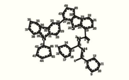 C=C(/N=C(\N=C(/C)c1ccccc1)c1ccccc1)c1cccc2c1sc1c(-c3ccc4c(c3)c3ccccc3n4-c3ccccc3)cccc12